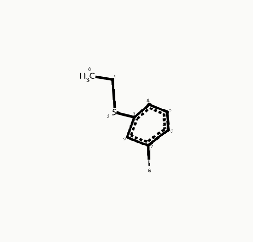 CCSc1cccc(I)c1